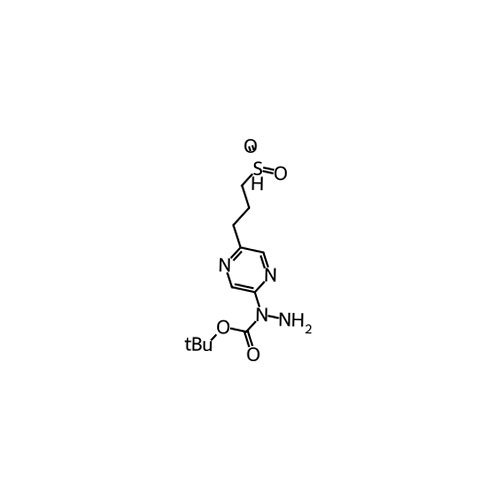 CC(C)(C)OC(=O)N(N)c1cnc(CCC[SH](=O)=O)cn1